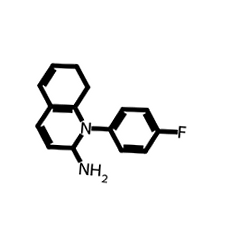 NC1C=CC2=C(CCC=C2)N1c1ccc(F)cc1